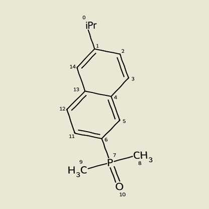 CC(C)c1ccc2cc(P(C)(C)=O)ccc2c1